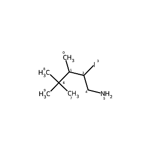 CC(C(I)CN)C(C)(C)C